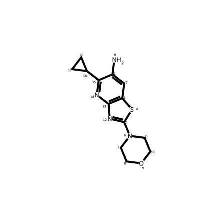 Nc1cc2sc(N3CCOCC3)nc2nc1C1CC1